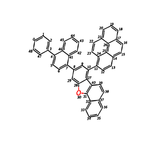 c1ccc(-c2ccc(-c3cc(-c4ccc5ccc6cccc7ccc4c5c67)c4c(c3)oc3c5ccccc5ccc34)c3ccccc23)cc1